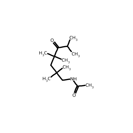 CC(=O)NCC(C)(C)CC(C)(C)C(=O)C(C)C